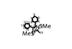 CSN1C(c2ccccc2)=C(c2ccccc2)N(SC)C1C